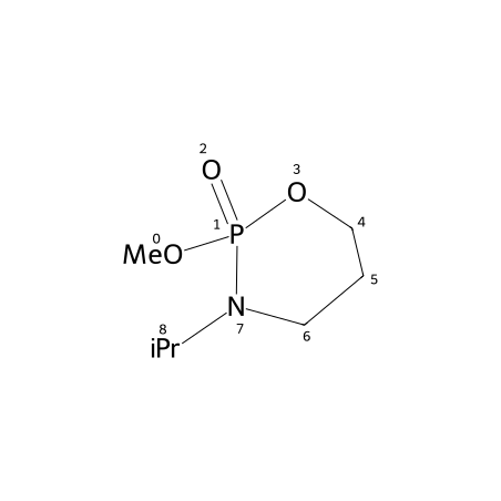 COP1(=O)OCCCN1C(C)C